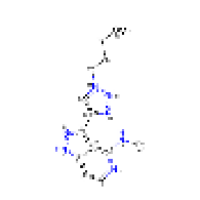 CCNc1nccc2[nH]nc(-c3cn(CCCOC)nn3)c12